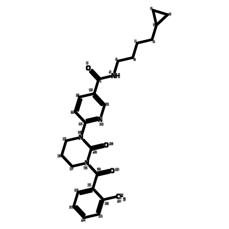 O=C(NCCCCC1CC1)c1ccc(N2CCCN(C(=O)c3ccccc3C(F)(F)F)C2=O)nc1